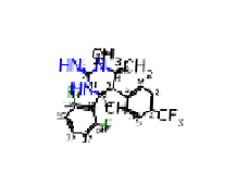 C=C1[C@@H](c2ccc(C(F)(F)F)cc2)[C@@](C)(c2c(F)cccc2F)NC(=N)N1C